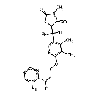 [2H]C([2H])(c1ccc(OCCN(CC)c2ncccc2C)c(C)c1C)C1SC(=O)N(C)C1=O